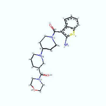 Nc1sc2ccccc2c1C(=O)N1CCC(N2CCCC(C(=O)N3CCOCC3)C2)CC1